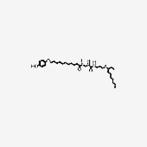 CCCCCCCC(CC)SCCCNC(=O)NCNC(=O)CCCCCCCCCCOc1ccc(O)cc1